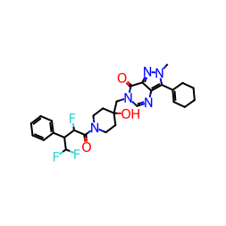 Cn1nc2c(=O)n(CC3(O)CCN(C(=O)C(F)C(c4ccccc4)C(F)F)CC3)cnc2c1C1=CCCCC1